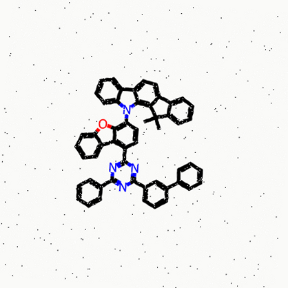 CC1(C)c2ccccc2-c2ccc3c4ccccc4n(-c4ccc(-c5nc(-c6ccccc6)nc(-c6cccc(-c7ccccc7)c6)n5)c5c4oc4ccccc45)c3c21